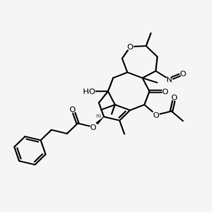 CC(=O)OC1C(=O)C2(C)C(COC(C)CC2N=O)CC2(O)C[C@H](OC(=O)CCc3ccccc3)C(C)=C1C2(C)C